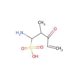 C=CC(=O)C(C)C(N)S(=O)(=O)O